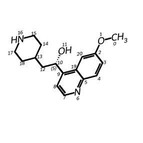 COc1ccc2nccc([C@@H](O)CC3CCNCC3)c2c1